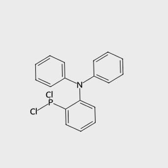 ClP(Cl)c1ccccc1N(c1ccccc1)c1ccccc1